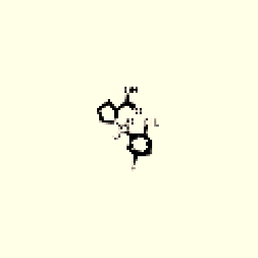 Cc1ccc(F)cc1S(=O)(=O)N1CCCC1C(=O)O